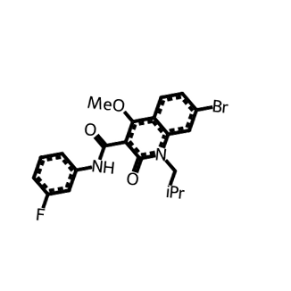 COc1c(C(=O)Nc2cccc(F)c2)c(=O)n(CC(C)C)c2cc(Br)ccc12